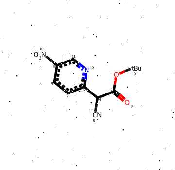 CC(C)(C)OC(=O)C(C#N)c1ccc([N+](=O)[O-])cn1